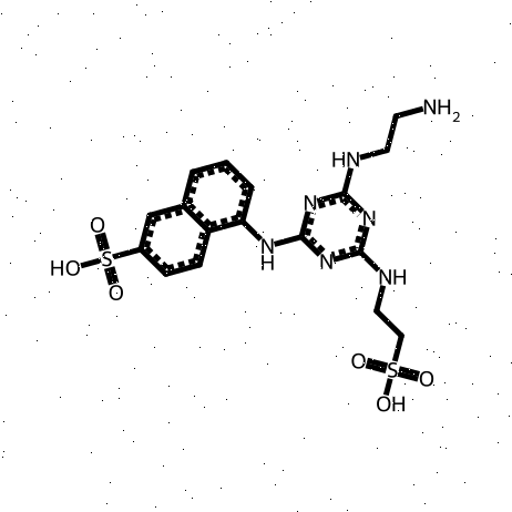 NCCNc1nc(NCCS(=O)(=O)O)nc(Nc2cccc3cc(S(=O)(=O)O)ccc23)n1